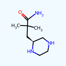 CC(C)(C[C@H]1CNCCN1)C(N)=O